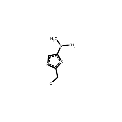 CN(C)c1cnc(C[O])s1